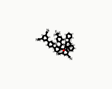 N#Cc1cc(C#N)cc(-c2ccc3c4ccccc4n(-c4cc(C(F)(F)F)cc(-n5c6ccccc6c6ccc(-c7cc(C#N)cc(C#N)c7)cc65)c4-c4cccc(-c5ccccc5)n4)c3c2)c1